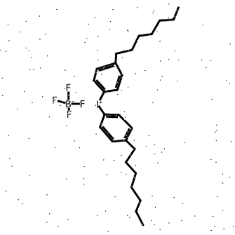 CCCCCCCc1ccc([I+]c2ccc(CCCCCCC)cc2)cc1.F[B-](F)(F)F